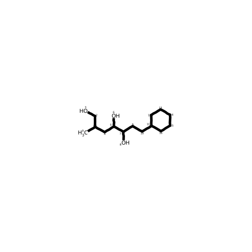 CC(CO)CC(O)C(O)CCC1CCCCC1